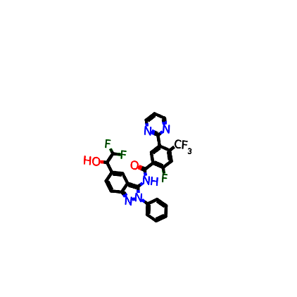 O=C(Nc1c2cc(C(O)C(F)F)ccc2nn1-c1ccccc1)c1cc(-c2ncccn2)c(C(F)(F)F)cc1F